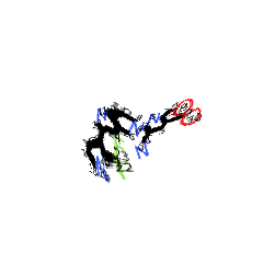 N#Cc1cc2c(nc1N1CCc3ncc(-c4cccnc4C(F)F)cc3C1)COC2=O